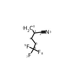 [CH2]C(C#N)CCC(F)(F)F